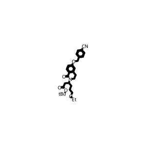 CCOCCCC(CC(=O)OC(C)(C)C)N1CCc2cc(OCc3ccc(C#N)cc3)ccc2C1=O